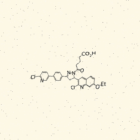 CCOc1ccc2cc(C3CC(c4ccc(-c5ccc(Cl)nc5)cc4)=NN3C(=O)CCCC(=O)O)c(Cl)nc2c1